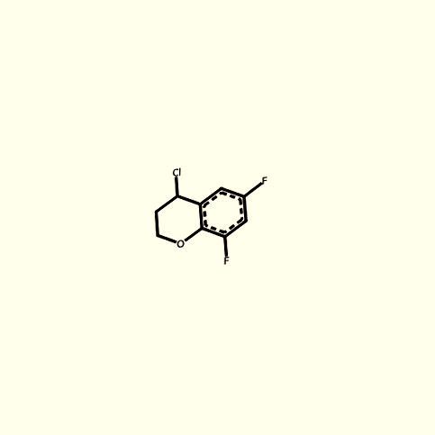 Fc1cc(F)c2c(c1)C(Cl)CCO2